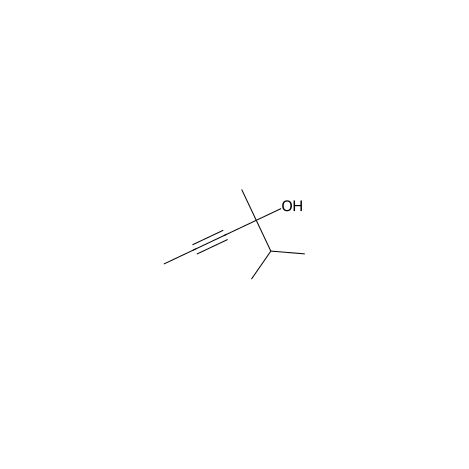 CC#CC(C)(O)C(C)C